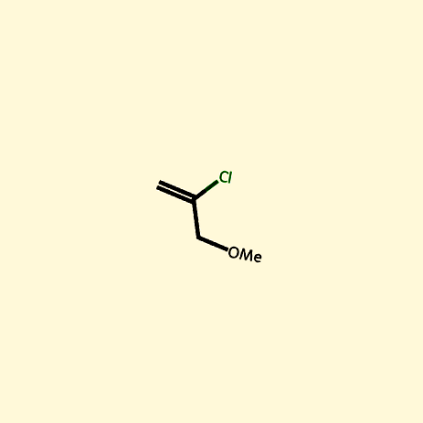 C=C(Cl)COC